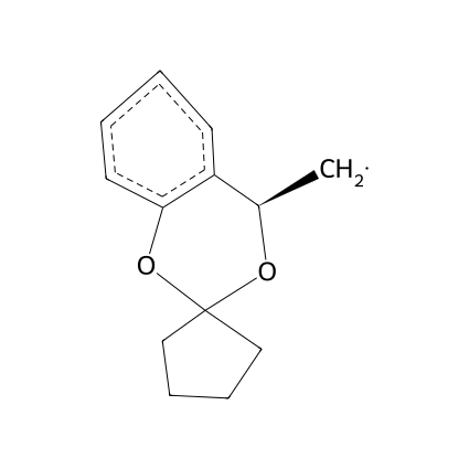 [CH2][C@H]1OC2(CCCC2)Oc2ccccc21